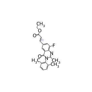 CCOC(=O)/C=C/c1cc(F)c2nc(C)n(-c3c(C)cccc3C)c(=O)c2c1